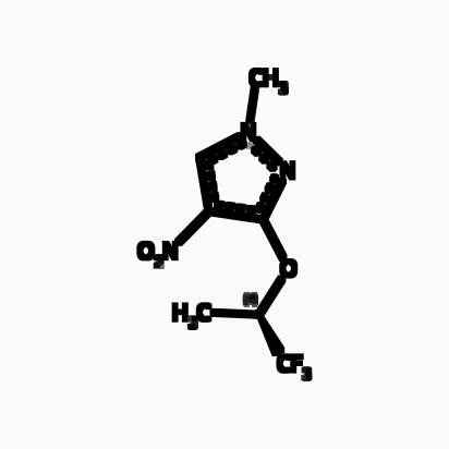 C[C@@H](Oc1nn(C)cc1[N+](=O)[O-])C(F)(F)F